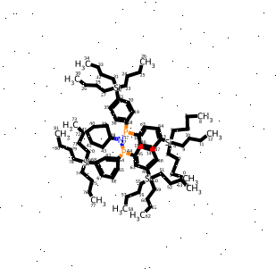 CCCC[Si](CCCC)(CCCC)c1ccc(P(c2ccc([Si](CCCC)(CCCC)CCCC)cc2)N(C2CCCCC2)P(c2cccc([Si](CCCC)(CCCC)CCCC)c2)c2cccc([Si](CCCC)(CCCC)CCCC)c2)cc1